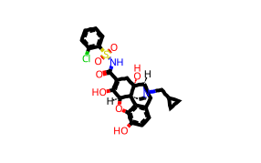 O=C(NS(=O)(=O)c1ccccc1Cl)C1=C(O)[C@@H]2Oc3c(O)ccc4c3[C@@]23CCN(CC2CC2)[C@H](C4)[C@]3(O)C1